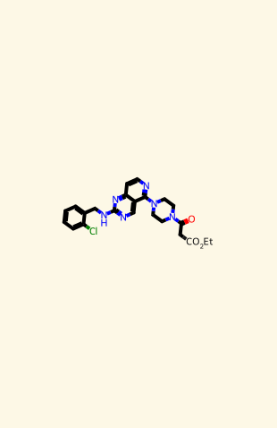 CCOC(=O)CC(=O)N1CCN(c2nccc3nc(NCc4ccccc4Cl)ncc23)CC1